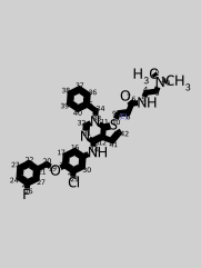 CN(C)CCNC(=O)/C=C/S1=C2C(=C(Nc3ccc(OCc4cccc(F)c4)c(Cl)c3)N=CN2Cc2ccccc2)C=C1